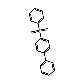 O=S(=O)(c1ccccc1)c1ccc(-c2c[c]ccc2)cc1